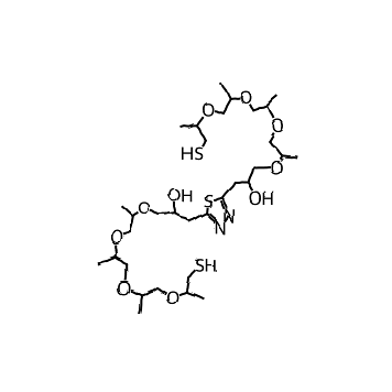 CC(CS)OCC(C)OCC(C)OCC(C)OCC(O)Cc1nnc(CC(O)COC(C)COC(C)COC(C)COC(C)CS)s1